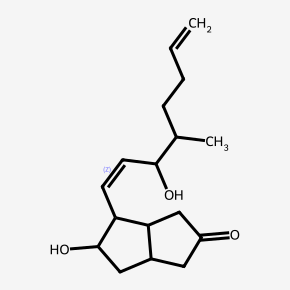 C=CCCC(C)C(O)/C=C\C1C(O)CC2CC(=O)CC21